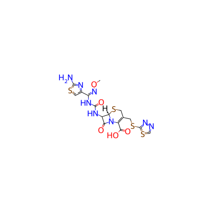 CON=C(NC(=O)NC1C(=O)N2C(C(=O)O)=C(CSc3nncs3)CS[C@@H]12)c1csc(N)n1